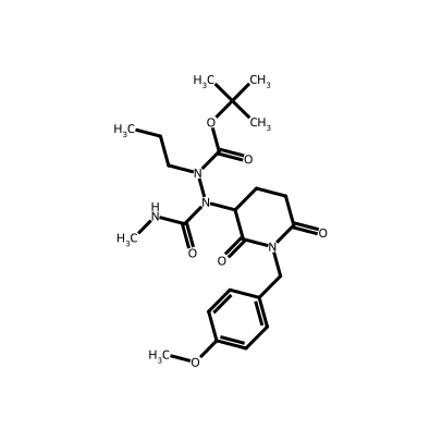 CCCN(C(=O)OC(C)(C)C)N(C(=O)NC)C1CCC(=O)N(Cc2ccc(OC)cc2)C1=O